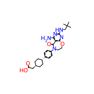 CC(C)(C)CNc1nc(N)c2c(n1)OCCN(c1ccc([C@H]3CC[C@H](CC(=O)O)CC3)cc1)C2=O